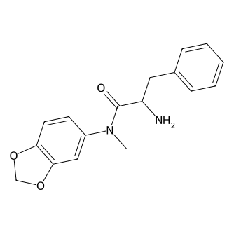 CN(C(=O)C(N)Cc1ccccc1)c1ccc2c(c1)OCO2